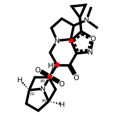 CN(C)C1CCN(CCS(=O)(=O)N2[C@@H]3CC[C@H]2C[C@@H](NC(=O)c2cc(C4CC4)on2)C3)C1